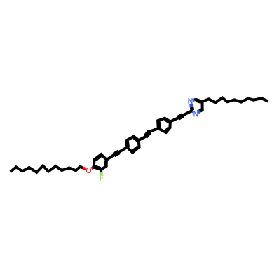 CCCCCCCCCCCCOc1ccc(C#Cc2ccc(C#Cc3ccc(C#Cc4ncc(CCCCCCCCCC)cn4)cc3)cc2)cc1F